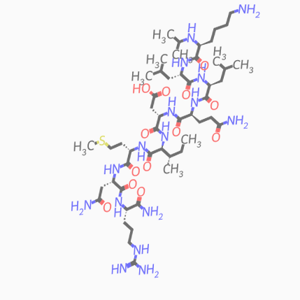 CC[C@H](C)[C@H](NC(=O)[C@H](CC(=O)O)NC(=O)[C@H](CCC(N)=O)NC(=O)[C@H](CC(C)C)NC(=O)[C@H](CC(C)C)NC(=O)[C@H](CCCCN)NC(C)C)C(=O)N[C@@H](CCSC)C(=O)N[C@@H](CC(N)=O)C(=O)N[C@@H](CCCNC(=N)N)C(N)=O